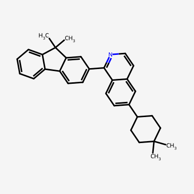 CC1(C)CCC(c2ccc3c(-c4ccc5c(c4)C(C)(C)c4ccccc4-5)nccc3c2)CC1